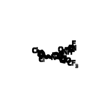 O=C(NCc1ccnc(F)c1)n1c2c(c3ccc(OC(F)(F)F)cc31)CN(CC=Cc1ccc(Cl)cc1Cl)CC2